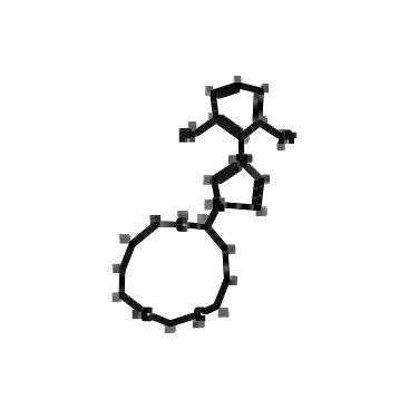 CC(C)c1cccc(C(C)C)c1-[n+]1ccn(C2CCCCCCCCCCC2)c1